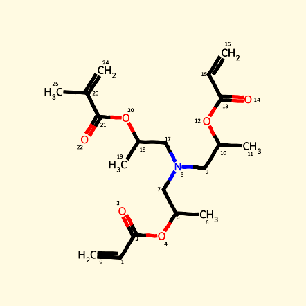 C=CC(=O)OC(C)CN(CC(C)OC(=O)C=C)CC(C)OC(=O)C(=C)C